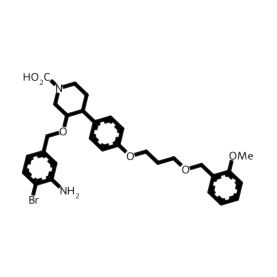 COc1ccccc1COCCCOc1ccc(C2CCN(C(=O)O)CC2OCc2ccc(Br)c(N)c2)cc1